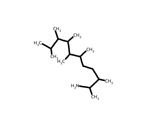 CC(C)C(C)C(C)C(C)C(C)CCC(C)C(C)N